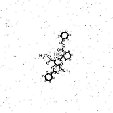 COC(=O)c1nc(C2(C)CCCCN2C(=O)OCc2ccccc2)nc(OC)c1OC(=O)c1ccccc1